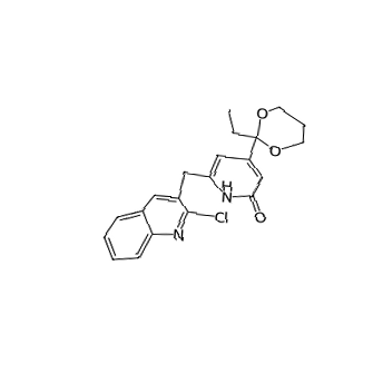 CCC1(c2cc(Cc3cc4ccccc4nc3Cl)[nH]c(=O)c2)OCCCO1